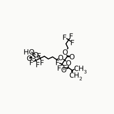 C=C(C)C(=O)OC(OCCCCC(F)(F)C(F)(F)S(=O)(=O)O)(C(=O)OCCC(F)(F)F)C(F)(F)F